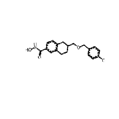 O=C(NO)c1ccc2c(c1)CCC(COCc1ccc(Cl)cc1)C2